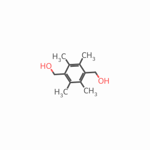 Cc1c(C)c(CO)c(C)c(C)c1CO